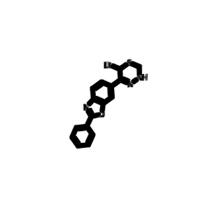 CCC1SCNN=C1c1ccc2nc(-c3ccccc3)oc2c1